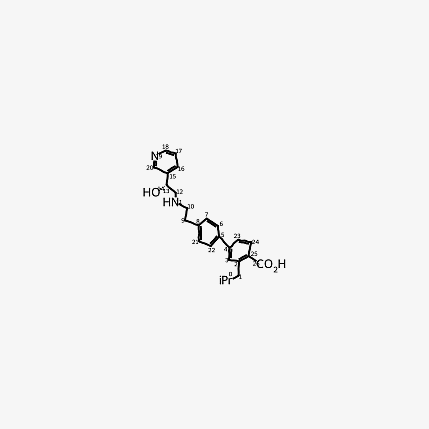 CC(C)Cc1cc(-c2ccc(CCNC[C@H](O)c3cccnc3)cc2)ccc1C(=O)O